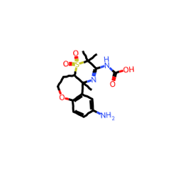 CC12N=C(NC(=O)O)C(C)(C)S(=O)(=O)C1CCOc1ccc(N)cc12